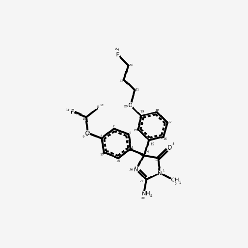 CN1C(=O)C(c2ccc(OC(F)F)cc2)(c2cccc(OCCCF)c2)N=C1N